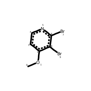 COc1ccnc(Br)c1Br